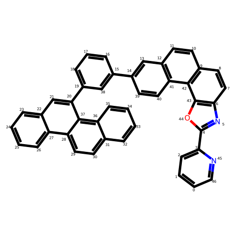 c1ccc(-c2nc3ccc4ccc5cc(-c6cccc(-c7cc8ccccc8c8ccc9ccccc9c78)c6)ccc5c4c3o2)nc1